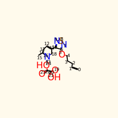 C=CCCCOc1nsnc1C1=CCC(C)N(C)C1.O=C(O)C(=O)O